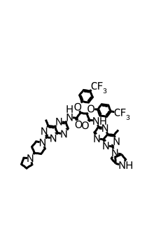 Cc1nc(N2CCC(N3CCCC3)CC2)nc2ncc(NC(=O)C(Oc3ccc(C(F)(F)F)cc3)C(Oc3ccc(C(F)(F)F)cc3)C(=O)Nc3cnc4nc(N5CC6CC5CN6)nc(C)c4n3)nc12